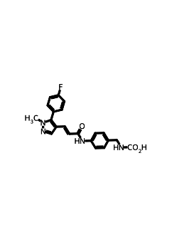 Cn1ncc(C=CC(=O)Nc2ccc(CNC(=O)O)cc2)c1-c1ccc(F)cc1